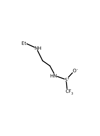 CCNCCN[S+]([O-])C(F)(F)F